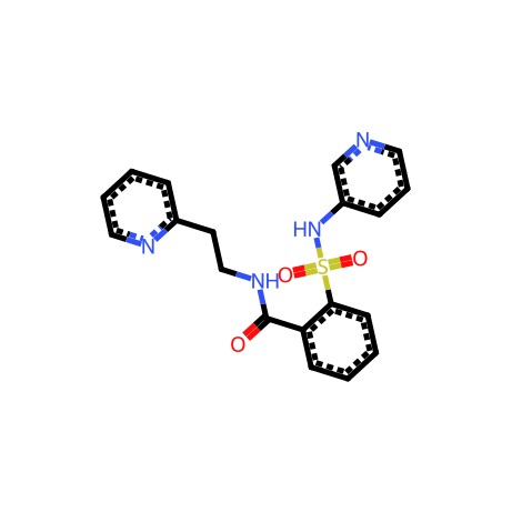 O=C(NCCc1ccccn1)c1ccccc1S(=O)(=O)Nc1cccnc1